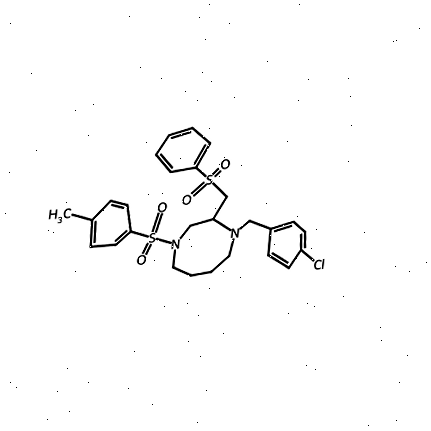 Cc1ccc(S(=O)(=O)N2CCCCN(Cc3ccc(Cl)cc3)C(CS(=O)(=O)c3ccccc3)C2)cc1